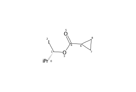 CC(C)[C@H](I)OC(=O)C1CC1